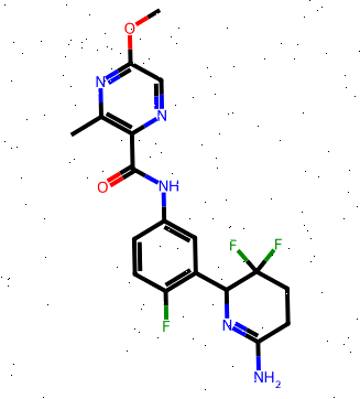 COc1cnc(C(=O)Nc2ccc(F)c(C3N=C(N)CCC3(F)F)c2)c(C)n1